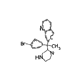 CC(c1ccc(Br)cc1)(c1ccc2cccnc2c1)C1CNCC[N]1